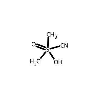 CS(C)(=O)(O)C#N